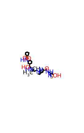 CC(C)(CCn1ccc2cc(C(=O)NCc3cc(O)sn3)cnc21)NC[C@H](O)c1cccc(NS(=O)(=O)c2ccccc2)c1